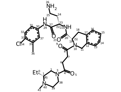 CC[C@@H]1CN(C(=O)CCC(=O)N2Cc3ccccc3C[C@H]2C(=O)N[C@@H](CCN)C(=O)Nc2ccc(Cl)c(C)c2)CCN1C